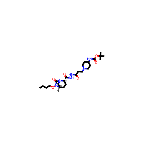 CCCCON1C(=O)N2C[C@@H]1CC[C@H]2C(=O)NNC(=O)CCN1CCC(NC(=O)OC(C)(C)C)CC1